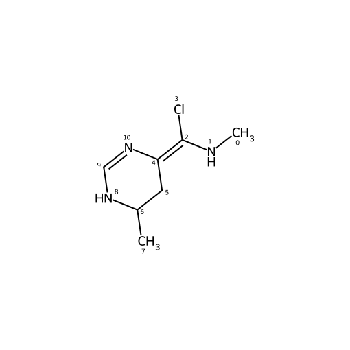 CN/C(Cl)=C1\CC(C)NC=N1